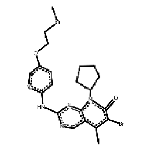 COCCOc1ccc(Nc2ncc3c(C)c(Br)c(=O)n(C4CCCC4)c3n2)nc1